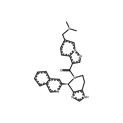 CN(C)Cc1ccc2c(C(=O)N3CCc4[nH]cnc4[C@H]3c3cc4ccccc4cn3)cnn2c1